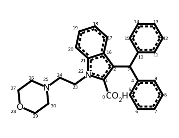 O=C(O)c1c(C(c2ccccc2)c2ccccc2)c2ccccc2n1CCN1CCOCC1